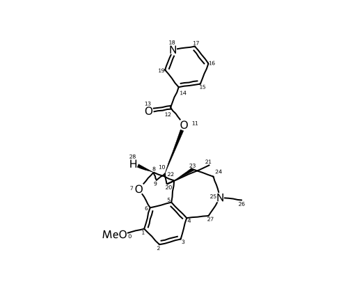 COc1ccc2c3c1O[C@H]1C[C@@H](OC(=O)c4cccnc4)C(C)[C@@]31CCN(C)C2